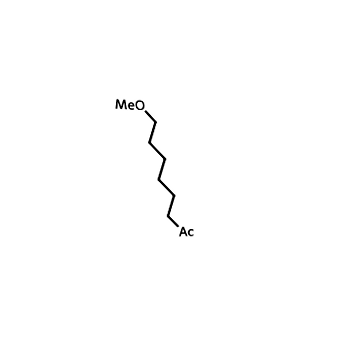 COCCCCCCC(C)=O